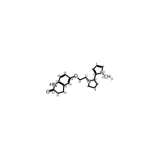 Cn1cccc1C1CCCN1CCOc1ccc2c(c1)CCC(=O)N2